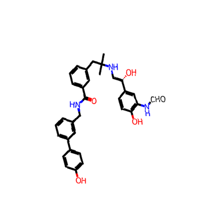 CC(C)(Cc1cccc(C(=O)NCc2cccc(-c3ccc(O)cc3)c2)c1)NC[C@H](O)c1ccc(O)c(NC=O)c1